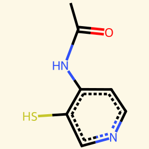 CC(=O)Nc1ccncc1S